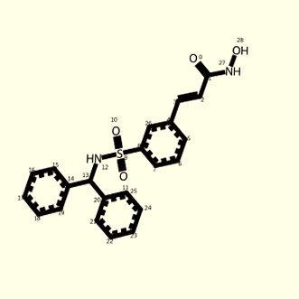 O=C(C=Cc1cccc(S(=O)(=O)NC(c2ccccc2)c2ccccc2)c1)NO